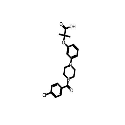 CC(C)(Oc1cccc(N2CCN(C(=O)c3ccc(Cl)cc3)CC2)c1)C(=O)O